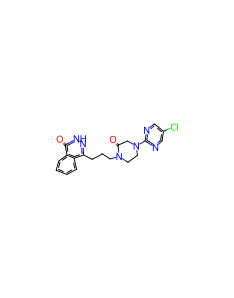 O=C1CN(c2ncc(Cl)cn2)CCN1CCCc1n[nH]c(=O)c2ccccc12